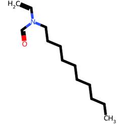 C=CN(C=O)CCCCCCCCCC